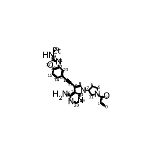 C=CC(=O)N1CC[C@H](n2cc(C#Cc3ccc4oc(NCC)nc4c3)c3c(N)ncnc32)C1